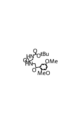 COc1ccc(OC)c(C(=O)CNC2(CNC(=O)OC(C)(C)C)COC2)c1